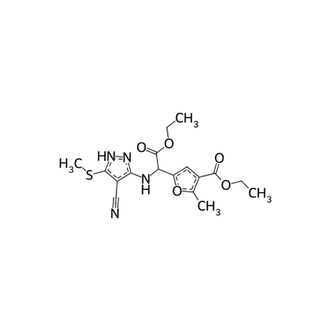 CCOC(=O)c1cc(C(Nc2n[nH]c(SC)c2C#N)C(=O)OCC)oc1C